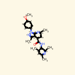 COc1ccc(-n2nc(C)c3c(C(=O)Nc4c(C)cc(C)nc4C)cc(C)nc32)cc1